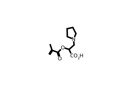 C=C(C)C(=O)OC(CN1CCCC1)C(=O)O